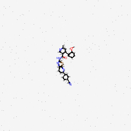 COc1ccccc1-c1cc(C)ncc1C(=O)Nc1nc2ccc(-c3ccc(C#N)cc3)nc2s1